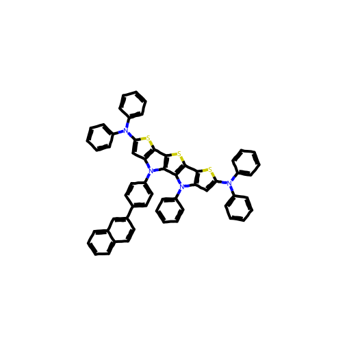 c1ccc(N(c2ccccc2)c2cc3c(s2)c2sc4c5sc(N(c6ccccc6)c6ccccc6)cc5n(-c5ccc(-c6ccc7ccccc7c6)cc5)c4c2n3-c2ccccc2)cc1